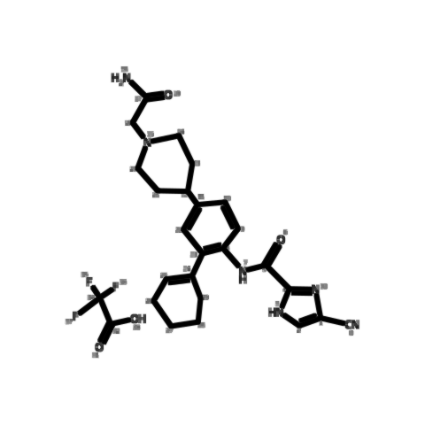 N#Cc1c[nH]c(C(=O)Nc2ccc(C3CCN(CC(N)=O)CC3)cc2C2=CCCCC2)n1.O=C(O)C(F)(F)F